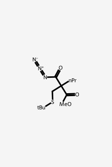 CCCC(CSC(C)(C)C)(C(=O)N=[N+]=[N-])C(=O)OC